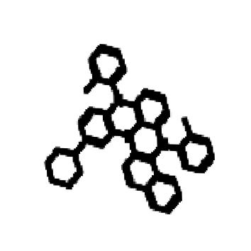 Cc1ccccc1N1c2ccc(C3CCCCC3)cc2B2c3ccc4ccccc4c3N(c3ccccc3C)c3cccc1c32